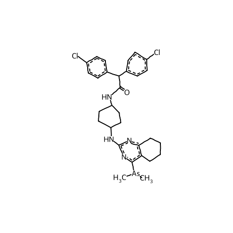 C[As](C)c1nc(NC2CCC(NC(=O)C(c3ccc(Cl)cc3)c3ccc(Cl)cc3)CC2)nc2c1CCCC2